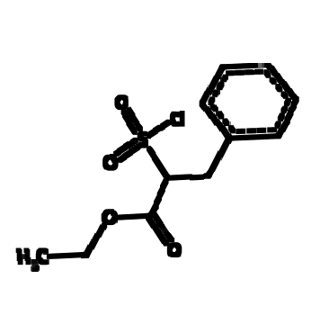 CCOC(=O)C(Cc1ccccc1)S(=O)(=O)Cl